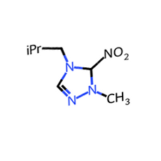 CC(C)CN1C=NN(C)C1[N+](=O)[O-]